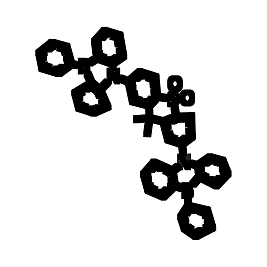 CC1(C)c2cc(N3c4ccccc4B(c4ccccc4)c4ccccc43)ccc2S(=O)(=O)c2ccc(N3c4ccccc4B(c4ccccc4)c4ccccc43)cc21